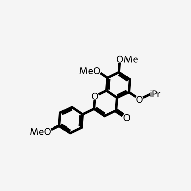 COc1ccc(-c2cc(=O)c3c(OC(C)C)cc(OC)c(OC)c3o2)cc1